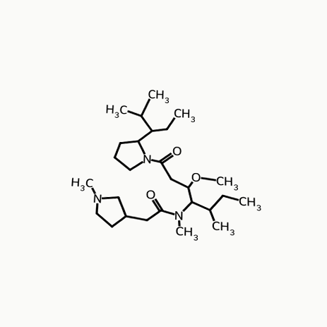 CCC(C)C(C(CC(=O)N1CCCC1C(CC)C(C)C)OC)N(C)C(=O)CC1CCN(C)C1